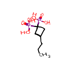 CCCC1CC(P(=O)(O)O)(P(=O)(O)O)C1